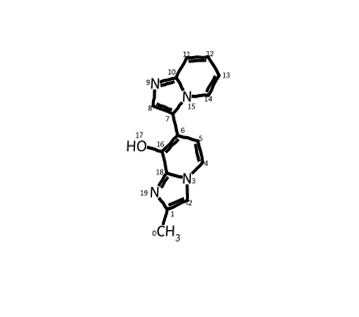 Cc1[c]n2ccc(-c3cnc4ccccn34)c(O)c2n1